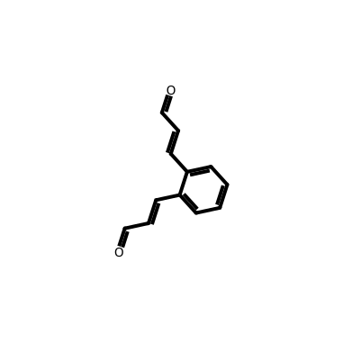 O=CC=Cc1ccccc1C=CC=O